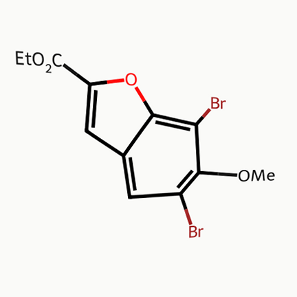 CCOC(=O)c1cc2cc(Br)c(OC)c(Br)c2o1